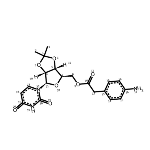 CC1(C)O[C@@H]2[C@H](O1)[C@@H](COC(=O)Cc1ccc(N)cc1)O[C@H]2n1ccc(=O)[nH]c1=O